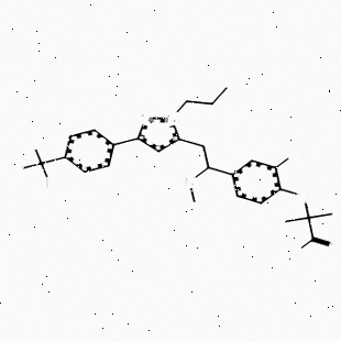 CCCn1nc(-c2ccc(C(F)(F)F)cc2)cc1CC(NC)c1ccc(OC(C)(C)C(=O)O)c(Cl)c1